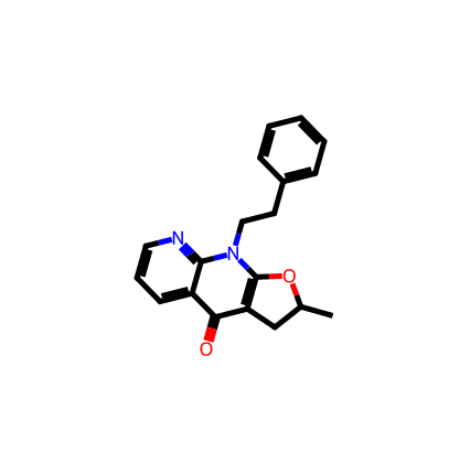 CC1Cc2c(n(CCc3ccccc3)c3ncccc3c2=O)O1